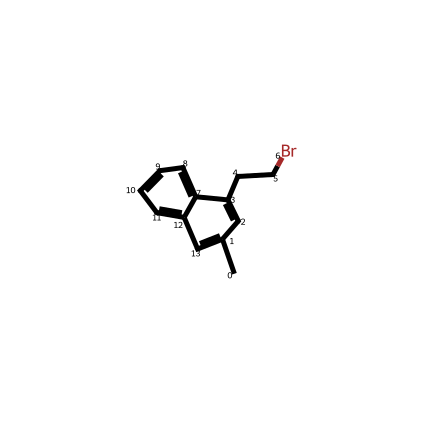 Cc1cc(CCBr)c2ccccc2c1